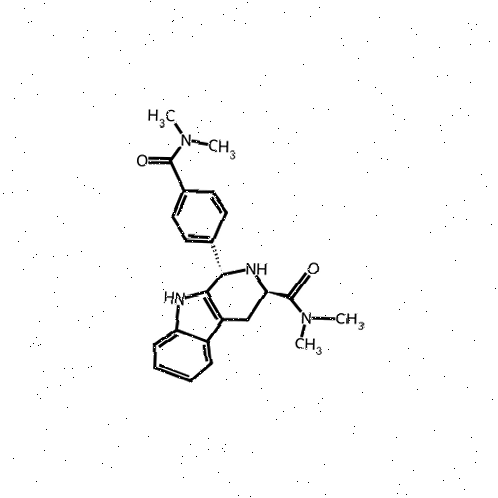 CN(C)C(=O)c1ccc([C@@H]2N[C@@H](C(=O)N(C)C)Cc3c2[nH]c2ccccc32)cc1